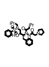 CC(C)CC(=O)N(NC(=O)CN1CCCC1)[C@@H](Cc1ccccc1)[C@H](O)CN(CC(C)C)S(=O)(=O)c1ccccc1